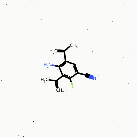 C=C(C)c1cc(C#N)c(F)c(C(=C)C)c1N